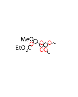 C=CCOc1cc(OCC=C)c2c(=O)cc(-c3ccc(OC)c(OCC(=O)OCC)c3)oc2c1